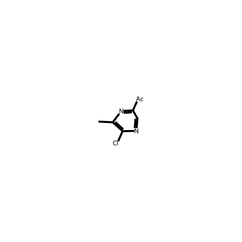 CC(=O)c1cnc(Cl)c(C)n1